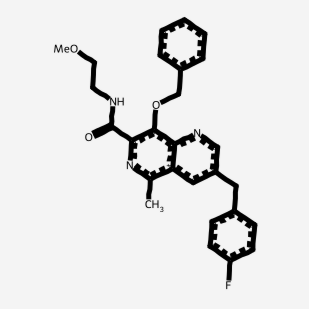 COCCNC(=O)c1nc(C)c2cc(Cc3ccc(F)cc3)cnc2c1OCc1ccccc1